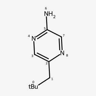 CC(C)(C)Cc1cnc(N)cn1